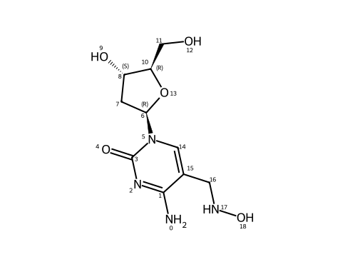 Nc1nc(=O)n([C@H]2C[C@H](O)[C@@H](CO)O2)cc1CNO